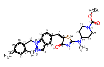 CN(C1=NC(=O)C(=Cc2ccc3c(cnn3Cc3ccc(C(F)(F)F)cc3C(F)(F)F)c2)S1)C1CCN(C(=O)OC(C)(C)C)CC1